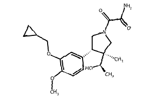 COc1ccc([C@@H]2CN(C(=O)C(N)=O)C[C@@]2(C)[C@@H](C)O)cc1OCC1CC1